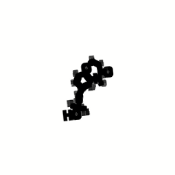 CN1C(=O)CCOc2ccc(C#CC(C)(C)O)cc21